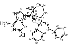 Nc1nc(Cl)nc2c1ncn2[C@@H]1O[C@@]2(COCc3ccccc3)CCO[C@@H]1[C@@H]2OCc1ccccc1